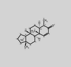 CN1C(=O)C=C[C@]2(C)[C@H]3CC[C@]4(C)CCC[C@H]4[C@@H]3CC[C@@H]12